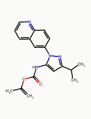 C=C(C)OC(=O)Nc1cc(C(C)C)nn1-c1ccc2ncccc2c1